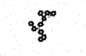 c1ccc(-c2cccc(N(c3ccc(-c4ccc(-c5cccc6c5oc5ccccc56)c(-c5ccccc5)c4)cc3)c3ccc(-c4cccc5ccccc45)cc3)c2)cc1